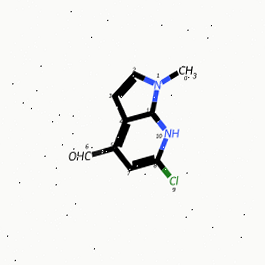 CN1C=CC2=C(C=O)C=C(Cl)NC21